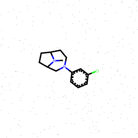 CN1C2CCC1CN(c1cccc(Cl)c1)CC2